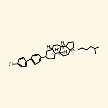 CC(C)CCCC[C@H]1CC[C@H]2[C@@H]3CC[C@H]4CC(c5ccc(-c6ccc(Cl)cc6)cc5)CC[C@]4(C)[C@H]3CC[C@]12C